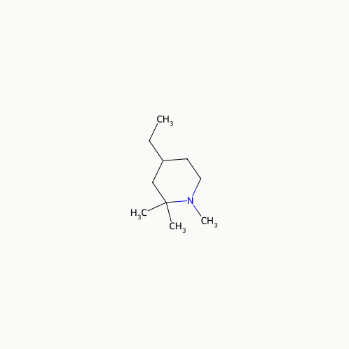 CCC1CCN(C)C(C)(C)C1